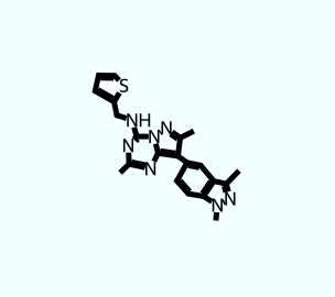 Cc1nc(NCc2cccs2)n2nc(C)c(-c3ccc4c(c3)c(C)nn4C)c2n1